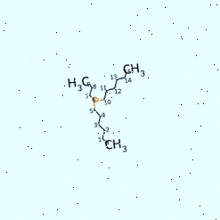 CCCCCCP(CCC)CCCCCC